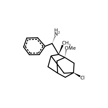 CO[C@@]12CC3CC(C[C@@](Cl)(C3)C1)[C@]2(C)[C@@H](N)c1ccccc1